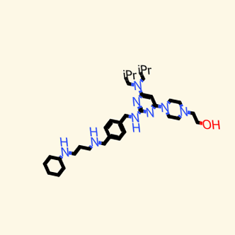 CC(C)CN(CC(C)C)c1cc(N2CCN(CCO)CC2)nc(NCc2ccc(CNCCCNC3CCCCC3)cc2)n1